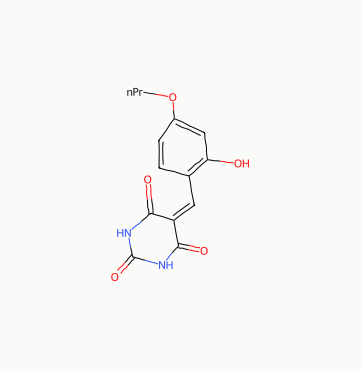 CCCOc1ccc(C=C2C(=O)NC(=O)NC2=O)c(O)c1